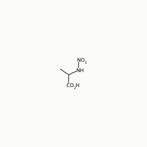 CC(N[N+](=O)[O-])C(=O)O